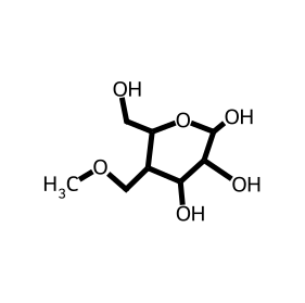 COCC1C(CO)OC(O)C(O)C1O